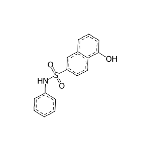 O=S(=O)(Nc1ccccc1)c1ccc2c(O)cccc2c1